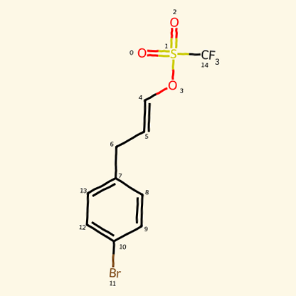 O=S(=O)(OC=CCc1ccc(Br)cc1)C(F)(F)F